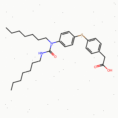 CCCCCCCNC(=O)N(CCCCCCC)c1ccc(Sc2ccc(CC(=O)O)cc2)cc1